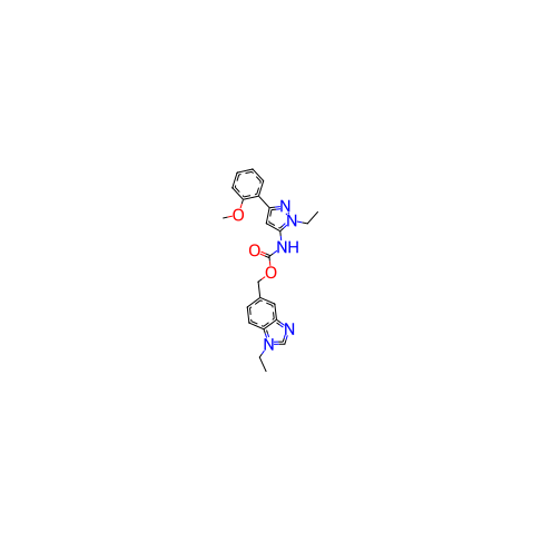 CCn1nc(-c2ccccc2OC)cc1NC(=O)OCc1ccc2c(c1)ncn2CC